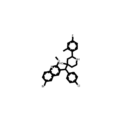 COc1nc2ccc(Br)cc2cc1C(c1ccc(Cl)cc1)C1(O)CCNC(c2ccc(F)cc2C)C1